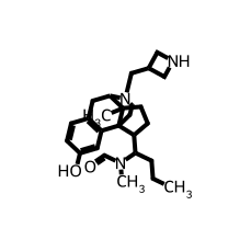 CCCC(C1CCC2(C)C3Cc4ccc(O)cc4C12CCN3CC1CNC1)N(C)C=O